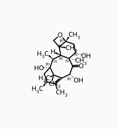 CC1=C2[C@@H](O)C(=O)[C@]3(C)[C@@H](O)C[C@@]4(C)OC[C@@]4(C)[C@H]3[C@H](C)[C@](O)(C[C@@H]1C)C2(C)C